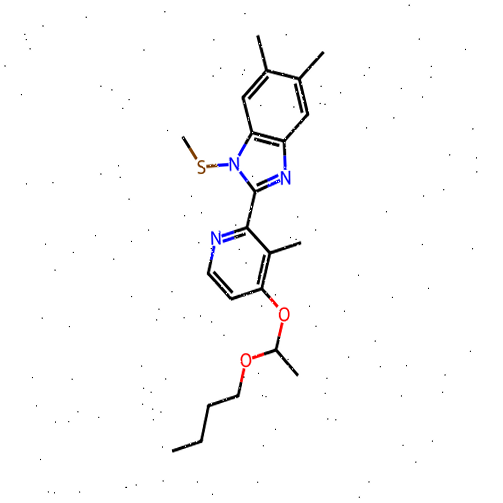 CCCCOC(C)Oc1ccnc(-c2nc3cc(C)c(C)cc3n2SC)c1C